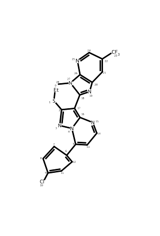 CCSc1nn2c(-c3ccc(Cl)cc3)ccnc2c1-c1nc2cc(C(F)(F)F)cnc2n1C